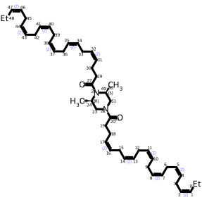 CC/C=C\C/C=C\C/C=C\C/C=C\C/C=C\C/C=C\CCC(=O)N1C[C@@H](C)N(C(=O)CC/C=C\C/C=C\C/C=C\C/C=C\C/C=C\C/C=C\CC)[C@@H](C)C1